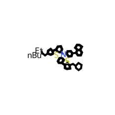 CCCCC(CC)Cc1ccc2c(c1)sc1c(N(c3ccc(-c4cccc5ccccc45)cc3)c3cccc4c3sc3c(CC5CCCCC5)cccc34)cccc12